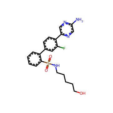 Nc1cnc(-c2ccc(-c3ccccc3S(=O)(=O)NCCCCCO)cc2F)cn1